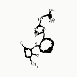 Cc1ccc(Cl)c(Nc2ccccc2-c2nsc(NC(=N)N)n2)c1Cl